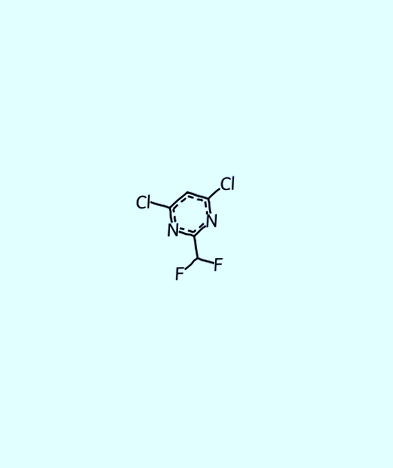 FC(F)c1nc(Cl)cc(Cl)n1